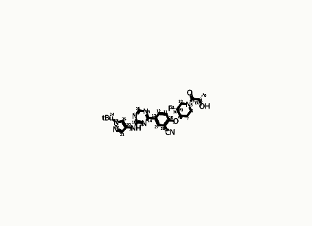 C[C@H](O)C(=O)N1CC[C@H](Oc2ccc(-c3ncnc(Nc4cnn(C(C)(C)C)c4)n3)cc2C#N)[C@H](F)C1